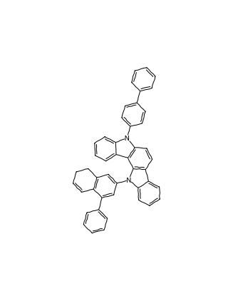 C1=Cc2c(cc(-n3c4ccccc4c4ccc5c(c6ccccc6n5-c5ccc(-c6ccccc6)cc5)c43)cc2-c2ccccc2)CC1